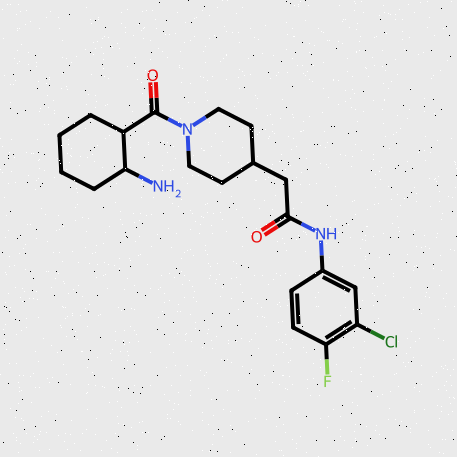 NC1CCCCC1C(=O)N1CCC(CC(=O)Nc2ccc(F)c(Cl)c2)CC1